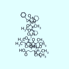 CC[C@H](C)[C@@H]([C@@H](CC(=O)N1CCC[C@H]1[C@H](OC)[C@@H](C)C(=O)N[C@@]1(C(=O)N2CCCCO2)CC1c1ccccc1)OC)N(C)C(=O)[C@@H](NC(=O)[C@H](C(C)C)N(C)CCCC(=O)O)C(C)C